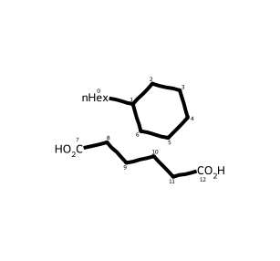 CCCCCCC1CCCCC1.O=C(O)CCCCC(=O)O